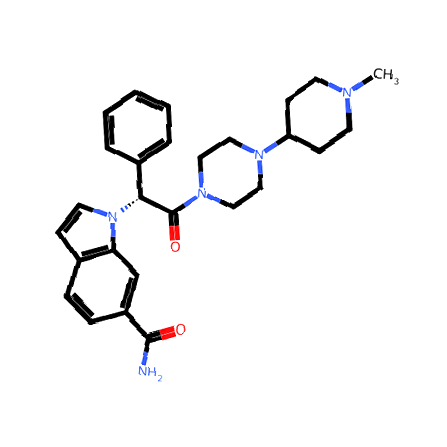 CN1CCC(N2CCN(C(=O)[C@@H](c3ccccc3)n3ccc4ccc(C(N)=O)cc43)CC2)CC1